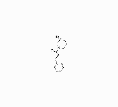 O=C(OCc1ccccc1)N1CCC[C@@H](O)C1